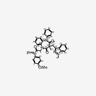 COc1ccc(N(C(=O)CN2C(=O)C(C)(Cc3nn(C)c4ccccc34)C(=O)N(c3ccccc3)c3ccccc32)C(C)C)cc1